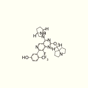 [2H]C([2H])(Oc1nc(N2C[C@H]3CC[C@@H](C2)N3)c2cnc(-c3cc(O)ccc3C(F)(F)F)c(F)c2n1)C12CCCN1CCC2